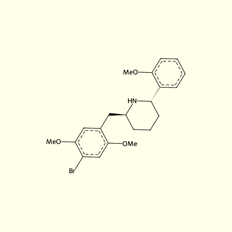 COc1cc(C[C@@H]2CCC[C@@H](c3ccccc3OC)N2)c(OC)cc1Br